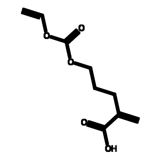 C=COC(=O)OCCCC(=C)C(=O)O